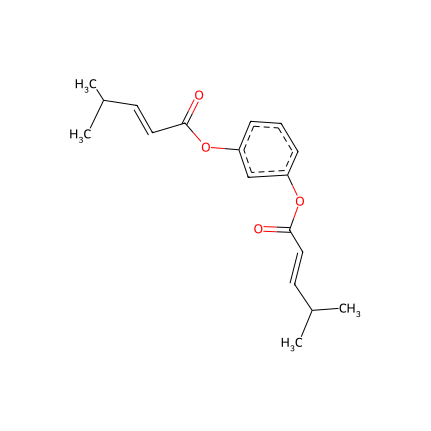 CC(C)/C=C/C(=O)Oc1cccc(OC(=O)/C=C/C(C)C)c1